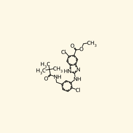 CCOC(=O)c1cc2nc(Nc3cc(CNC(=O)C(C)(C)C)ccc3Cl)[nH]c2cc1Cl